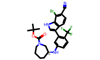 CC(C)(C)OC(=O)N1CCCC[C@H](Nc2ccc(C(F)(F)F)c(-c3c[nH]c4c(Br)c(C#N)ccc34)c2)C1